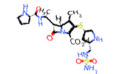 C[C@@H](NC(=O)[C@@H]1CCCN1)[C@H]1C(=O)N2C(C(=O)O)=C(S[C@@H]3CN[C@H](CNS(N)(=O)=O)C3)[C@H](C)[C@H]12